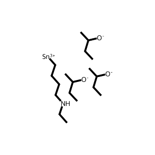 CCC(C)[O-].CCC(C)[O-].CCC(C)[O-].CCNCCC[CH2][Sn+3]